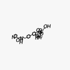 CCCOc1cc(-c2ccc(CCNC[C@@H](O)c3cccnc3)cc2)ccc1C(=O)NS(=O)(=O)CCCO